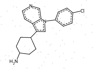 NC1CCC(c2cn(-c3ccc(Cl)cc3)c3cnccc23)CC1